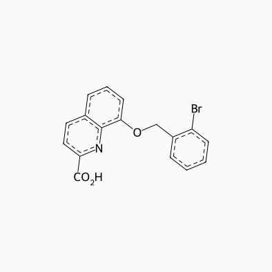 O=C(O)c1ccc2cccc(OCc3ccccc3Br)c2n1